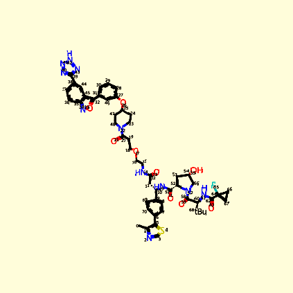 Cc1ncsc1-c1ccc([C@H](CC(=O)NCCOCCC(=O)N2CCC(Oc3cccc(-c4onc5ccc(-c6nn[nH]n6)cc45)c3)CC2)NC(=O)[C@@H]2C[C@@H](O)CN2C(=O)[C@@H](NC(=O)C2(F)CC2)C(C)(C)C)cc1